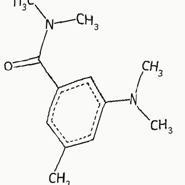 Cc1cc(C(=O)N(C)C)cc(N(C)C)c1